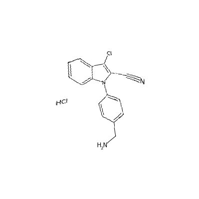 Cl.N#Cc1c(Cl)c2ccccc2n1-c1ccc(CN)cc1